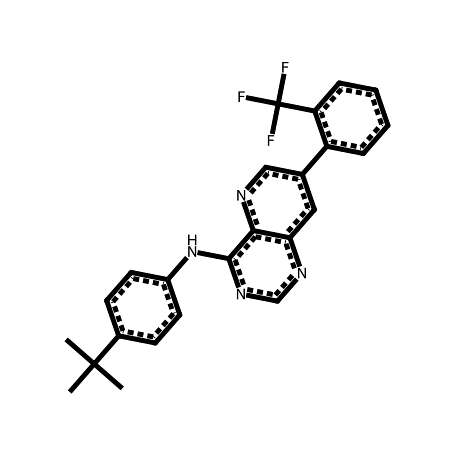 CC(C)(C)c1ccc(Nc2ncnc3cc(-c4ccccc4C(F)(F)F)cnc23)cc1